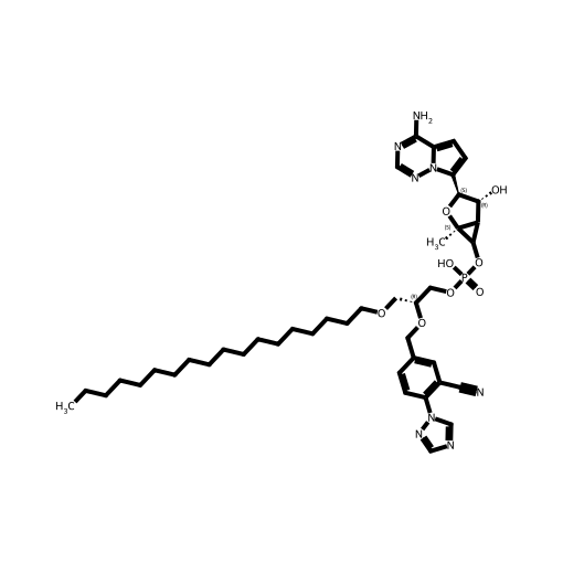 CCCCCCCCCCCCCCCCCCOC[C@H](COP(=O)(O)OC1C2[C@@H](O)[C@H](c3ccc4c(N)ncnn34)O[C@]12C)OCc1ccc(-n2cncn2)c(C#N)c1